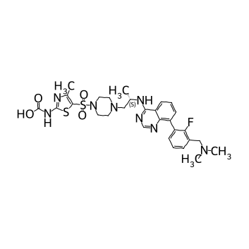 Cc1nc(NC(=O)O)sc1S(=O)(=O)N1CCN(C[C@H](C)Nc2ncnc3c(-c4cccc(CN(C)C)c4F)cccc23)CC1